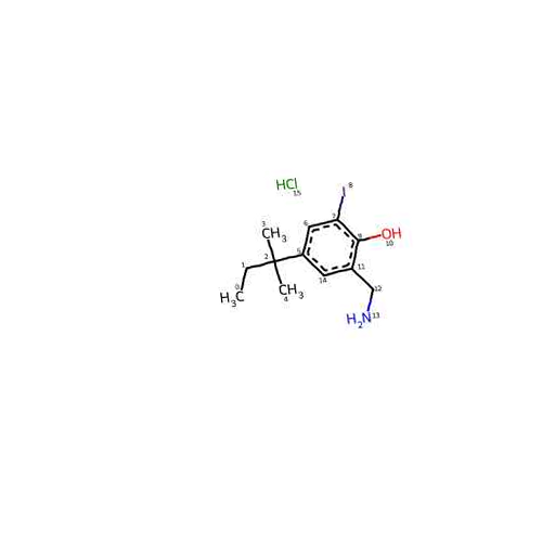 CCC(C)(C)c1cc(I)c(O)c(CN)c1.Cl